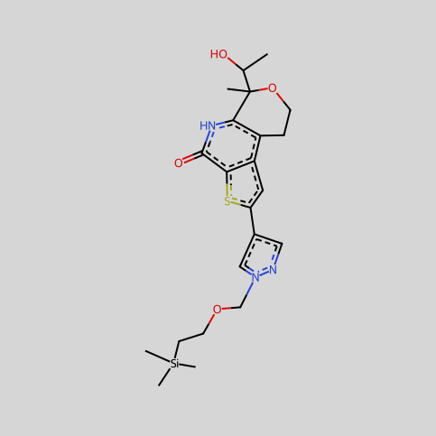 CC(O)C1(C)OCCc2c1[nH]c(=O)c1sc(-c3cnn(COCC[Si](C)(C)C)c3)cc21